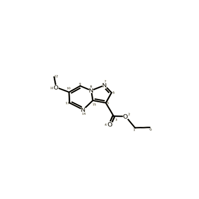 CCOC(=O)c1cnn2cc(OC)cnc12